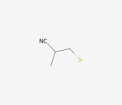 CC(C#N)C[S]